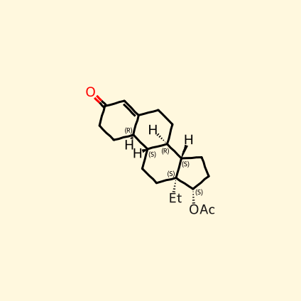 CC[C@]12CC[C@H]3[C@@H](CCC4=CC(=O)CC[C@@H]43)[C@@H]1CC[C@@H]2OC(C)=O